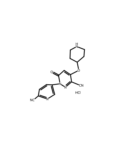 Cl.N#Cc1ccc(-n2nc(C#N)c(OC3CCNCC3)cc2=O)cn1